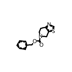 O=C(OCc1ccccc1)N1CCc2ncsc2C1